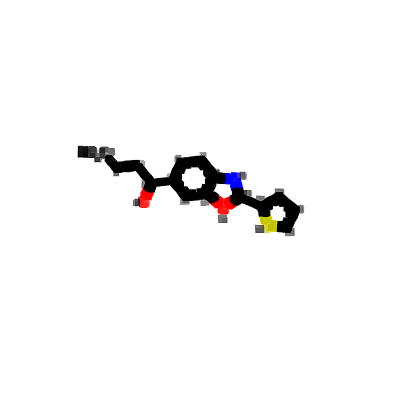 O=C(O)/C=C/C(=O)c1ccc2nc(-c3cccs3)oc2c1